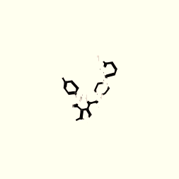 Cc1ccc(-n2nc(C(=O)N3CCN(c4cccc([18F])n4)CC3)c3csc(C)c3c2=O)cc1